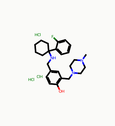 CN1CCN(Cc2cc(CNC3(c4ccccc4F)CCCCC3)ccc2O)CC1.Cl.Cl.Cl